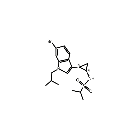 CC(C)Cn1cc([C@H]2C[C@H]2NS(=O)(=O)C(C)C)c2ccc(Br)cc21